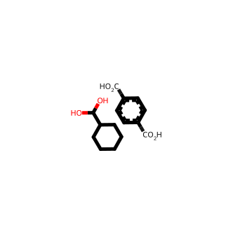 O=C(O)c1ccc(C(=O)O)cc1.OC(O)C1CCCCC1